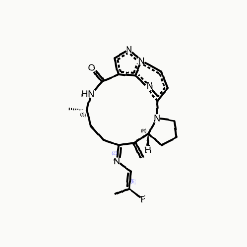 C=C1/C(=N\C=C(/C)F)CC[C@H](C)NC(=O)c2cnn3ccc(nc23)N2CCC[C@H]12